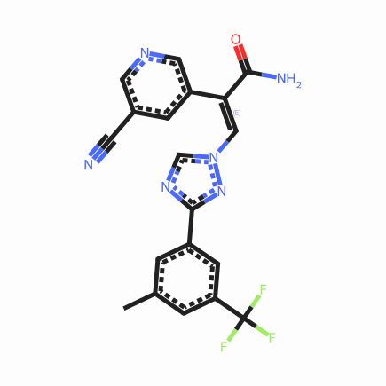 Cc1cc(-c2ncn(/C=C(/C(N)=O)c3cncc(C#N)c3)n2)cc(C(F)(F)F)c1